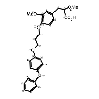 COc1cc(CC(OC)C(=O)O)ccc1OCCCOc1ccc(Oc2ccccc2)cc1